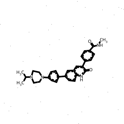 CNC(=O)c1ccc(-c2cc3cc(-c4ccc(N5CCN(C(C)C)CC5)cc4)ccc3[nH]c2=O)cc1